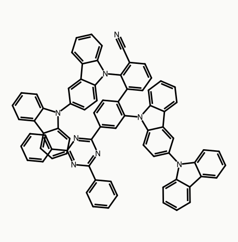 N#Cc1cccc(-c2ccc(-c3nc(-c4ccccc4)nc(-c4ccccc4)n3)cc2-n2c3ccccc3c3cc(-n4c5ccccc5c5ccccc54)ccc32)c1-n1c2ccccc2c2cc(-n3c4ccccc4c4ccccc43)ccc21